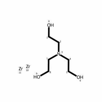 OCCN(CCO)CCO.[Zr].[Zr]